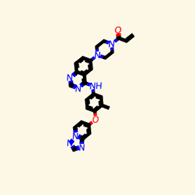 C=CC(=O)N1CCN(c2ccc3ncnc(Nc4ccc(Oc5ccn6ncnc6c5)c(C)c4)c3c2)CC1